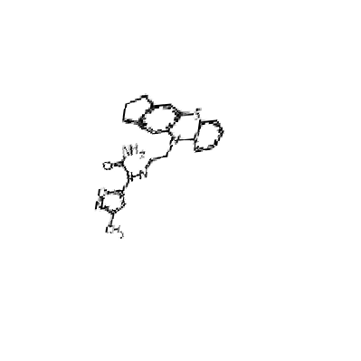 Cc1cc(N(N=CCN2c3ccccc3Sc3cc4c(cc32)CCC4)C(N)=O)on1